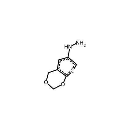 NNc1ccc2c(c1)COCO2